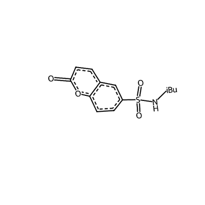 CCC(C)NS(=O)(=O)c1ccc2oc(=O)ccc2c1